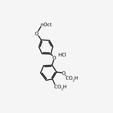 CCCCCCCCOc1ccc(Oc2cccc(C(=O)O)c2OC(=O)O)cc1.Cl